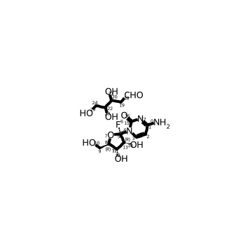 Nc1ccn([C@]2(F)O[C@H](CO)[C@@H](O)[C@H]2O)c(=O)n1.O=CCC(O)C(O)CO